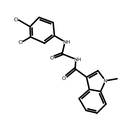 Cn1cc(C(=O)NC(=O)Nc2ccc(Cl)c(Cl)c2)c2cc[c]cc21